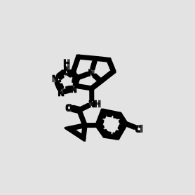 O=C(NC1CCCC2CCC1N2c1nnn[nH]1)C1(c2ccc(Cl)cc2)CC1